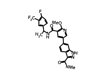 CNC(=O)c1n[nH]c2cc(-c3cnc(OC)c(C(=O)NC(C)c4ccc(F)c(C(F)(F)F)c4)c3)ccc12